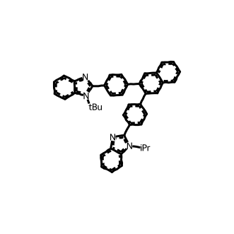 CC(C)n1c(-c2ccc(-c3cc4ccccc4cc3-c3ccc(-c4nc5ccccc5n4C(C)(C)C)cc3)cc2)nc2ccccc21